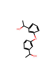 CC(O)c1cccc(Oc2cccc(C(C)O)c2)c1